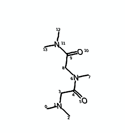 CN(C)CC(=O)N(C)CC(=O)N(C)C